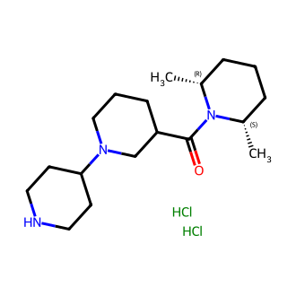 C[C@@H]1CCC[C@H](C)N1C(=O)C1CCCN(C2CCNCC2)C1.Cl.Cl